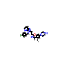 C[C@H](NC(=O)CCc1nc2cccnc2n1Cc1ccc(F)c(F)c1)c1ccc(N2CCNCC2)cc1